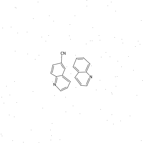 N#Cc1ccc2ncccc2c1.c1ccc2ncccc2c1